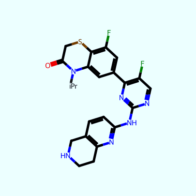 CC(C)N1C(=O)CSc2c(F)cc(-c3nc(Nc4ccc5c(n4)CCNC5)ncc3F)cc21